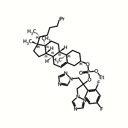 CCOP(=O)(O[C@@H]1CC[C@@]2(C)C(=CC[C@@H]3[C@@H]2CC[C@@]2(C)[C@H]3CC[C@]2(C)[C@H](C)CCCC(C)C)C1)OC(Cn1cncn1)(Cn1cncn1)c1ccc(F)cc1F